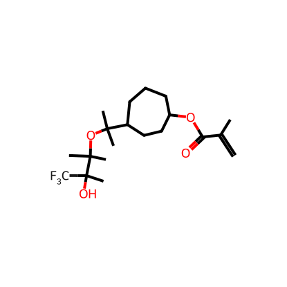 C=C(C)C(=O)OC1CCCC(C(C)(C)OC(C)(C)C(C)(O)C(F)(F)F)CC1